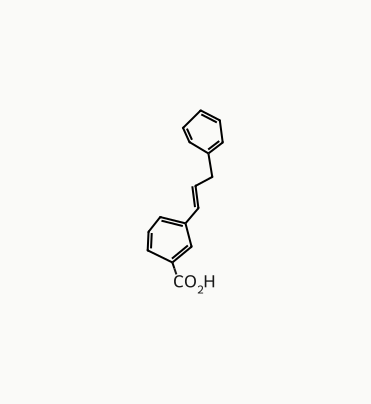 O=C(O)c1cccc(/C=C/Cc2ccccc2)c1